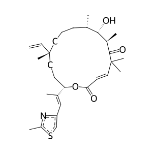 C=C[C@]1(C)CCC[C@H](C)[C@H](O)[C@@H](C)C(=O)C(C)(C)/C=C/C(=O)O[C@H](/C(C)=C/c2csc(C)n2)CC1